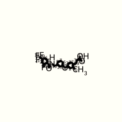 Cc1cc(Oc2cccc(CNC(=O)c3ccc(C(F)(F)F)cc3F)c2)ccc1CCC(=O)O